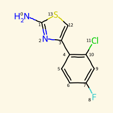 Nc1nc(-c2ccc(F)cc2Cl)cs1